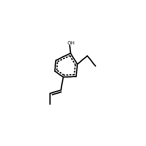 C/C=C/c1ccc(O)c(CC)c1